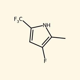 Cc1[nH]c(C(F)(F)F)cc1F